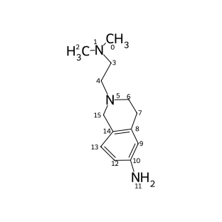 CN(C)CCN1CCc2cc(N)ccc2C1